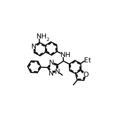 CCc1cc(C(Nc2ccc3c(N)nccc3c2)c2nc(-c3ccccc3)nn2C)cc2c(C)coc12